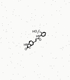 O=C(/C=C/c1ccc2[nH]c(=O)sc2c1)Nc1ccccc1C(=O)O